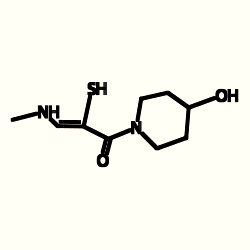 CN/C=C(\S)C(=O)N1CCC(O)CC1